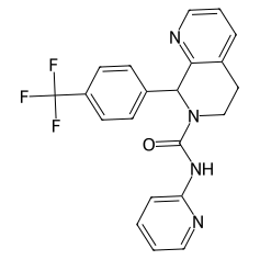 O=C(Nc1ccccn1)N1CCc2cccnc2C1c1ccc(C(F)(F)F)cc1